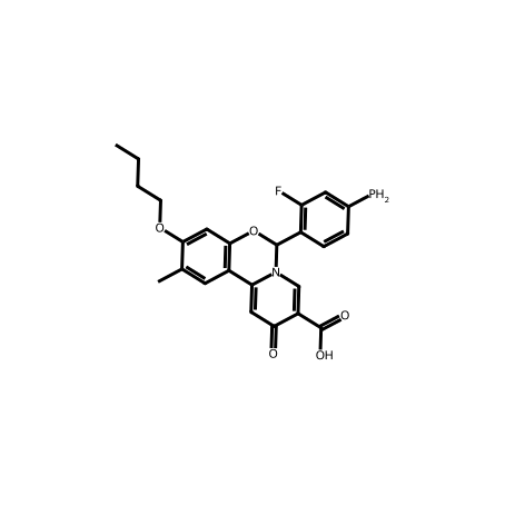 CCCCOc1cc2c(cc1C)-c1cc(=O)c(C(=O)O)cn1C(c1ccc(P)cc1F)O2